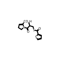 CC(CSC(=O)c1cccs1)C(=O)N1CCC=C1C(=O)O